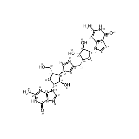 Nc1nc2c(ncn2[C@@H]2O[C@H](Cc3cn([C@H]4[C@@H](O)[C@H](n5cnc6c(=O)[nH]c(N)nc65)O[C@@H]4CO)nn3)[C@H](O)[C@H]2O)c(=O)[nH]1